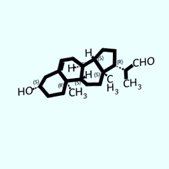 CC(C=O)[C@H]1CC[C@H]2[C@@H]3CC=C4C[C@@H](O)CC[C@]4(C)[C@H]3CC[C@]12C